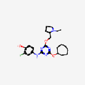 CCN1CCCC1COc1nc(Nc2ccc(O)c(F)c2)nc(OC2CCCCCC2)n1